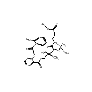 CC(C)(C)OC(=O)CCNC(=O)C(O[Si](C)(C)C(C)(C)C)C(C)(C)COC(=O)c1ccccc1OC(=O)c1ccccc1O